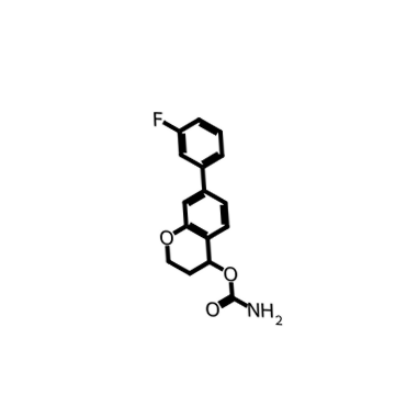 NC(=O)OC1CCOc2cc(-c3cccc(F)c3)ccc21